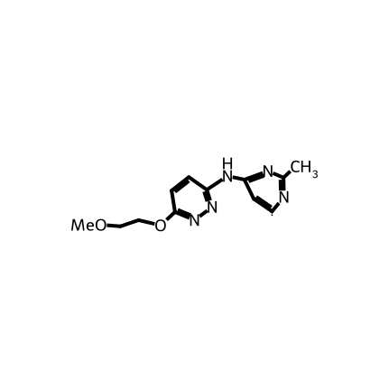 COCCOc1ccc(Nc2c[c]nc(C)n2)nn1